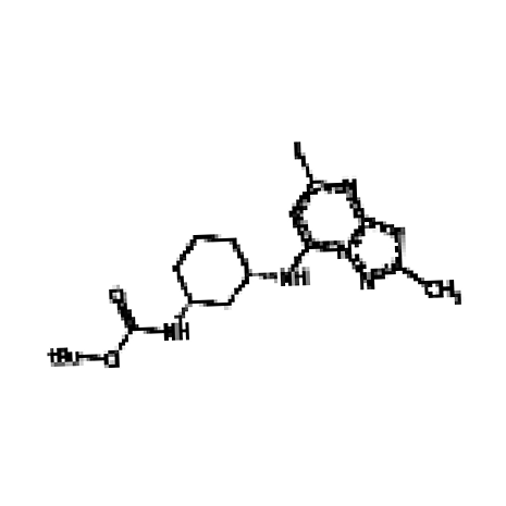 Cc1cc2nc(I)cc(N[C@H]3CCC[C@@H](NC(=O)OC(C)(C)C)C3)n2n1